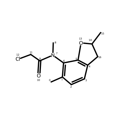 Cc1ccc2c(c1N(C)C(=O)CCl)OC(C)C2